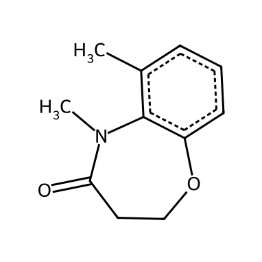 Cc1cccc2c1N(C)C(=O)CCO2